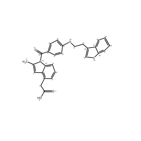 Cc1cc2c(CC(=O)O)cccc2n1C(=O)c1ccc(OCCc2csc3ccccc23)cc1